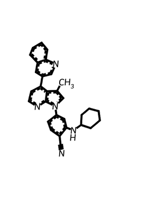 Cc1cn(-c2ccc(C#N)c(NC3CCCCC3)c2)c2nccc(-c3cnc4ccccc4c3)c12